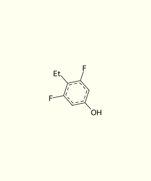 CCc1c(F)cc(O)cc1F